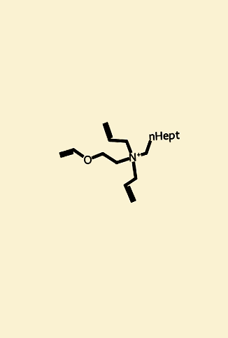 C=CC[N+](CC=C)(CCCCCCCC)CCOC=C